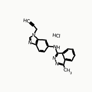 C#CCn1cnc2ccc(Nc3nnc(C)c4ccccc34)cc21.Cl